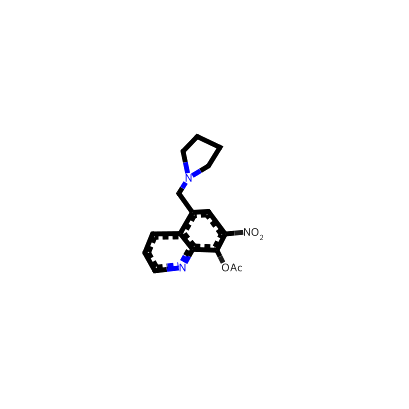 CC(=O)Oc1c([N+](=O)[O-])cc(CN2CCCC2)c2cccnc12